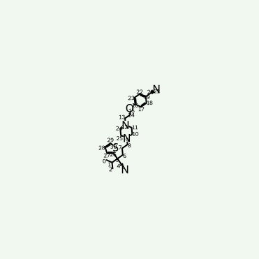 CC(C)C(C#N)(CCCN1CCN(CCOc2ccc(C#N)cc2)CC1)c1cccs1